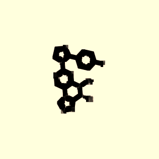 CC[C@@H]1c2nncn2-c2cnc(-n3ccnc3-c3ccc(F)cc3)nc2N1C(C)C